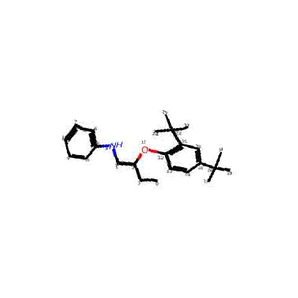 CCC(CNc1cc[c]cc1)Oc1ccc(C(C)(C)C)cc1C(C)(C)C